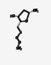 C[C@H]1C[C@@H](O)[C@@H](CSOON)O1